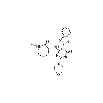 Cl.O=C1NCCCC[C@H]1Nc1nc(N2CCOCC2)[nH]c(=O)c1-c1nc2ccccc2s1